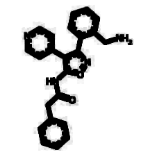 NCc1ccccc1-c1noc(NC(=O)Cc2ccccc2)c1-c1ccncc1